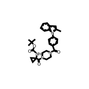 Cc1cc2ccccc2n1-c1ccc(C(=O)N2CCN(C(=O)C3(NC(=O)OC(C)(C)C)CC3)CC2)cc1